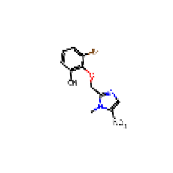 Cn1c([N+](=O)[O-])cnc1COc1c(Br)cccc1C#N